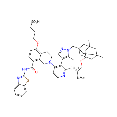 CNCCOC12CC3(C)CC(C)(CC(Cn4ncc(-c5c(N6CCc7c(OCCCS(=O)(=O)O)ccc(C(=O)Nc8nc9ccccc9s8)c7C6)ccnc5C(=O)O)c4C)(C3)C1)C2